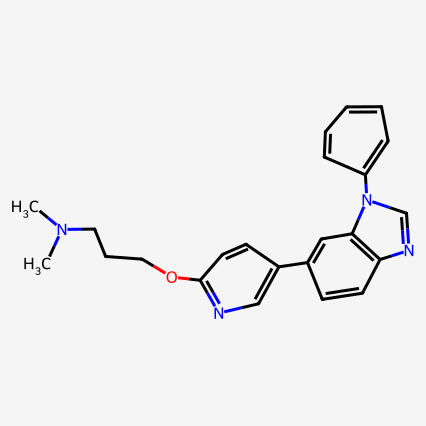 CN(C)CCCOc1ccc(-c2ccc3ncn(-c4ccccc4)c3c2)cn1